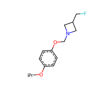 CC(C)Oc1ccc(OCN2CC(CF)C2)cc1